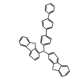 c1ccc(-c2ccc(-c3ccc(N(c4ccc5c(c4)sc4ccccc45)c4cccc5c4oc4ccccc45)cc3)cc2)cc1